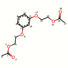 CC(=O)OCCOc1cccc(OCCOC(C)=O)c1